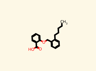 CCCCCc1ccccc1COc1ccccc1C(=O)O